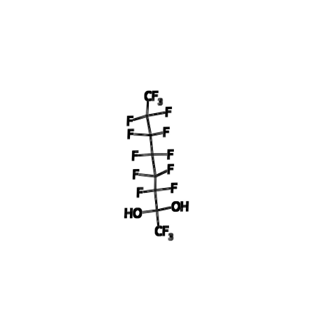 OC(O)(C(F)(F)F)C(F)(F)C(F)(F)C(F)(F)C(F)(F)C(F)(F)C(F)(F)F